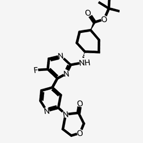 CC(C)(C)OC(=O)[C@H]1CC[C@H](Nc2ncc(F)c(-c3ccnc(N4CCOCC4=O)c3)n2)CC1